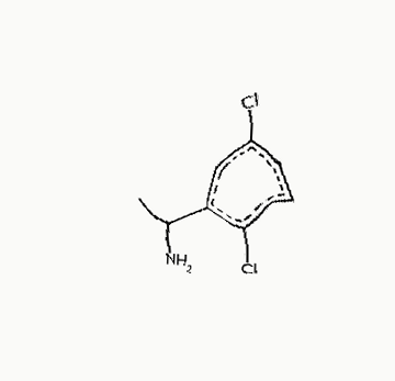 CC(N)c1cc(Cl)ccc1Cl